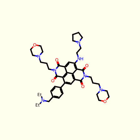 CCN(CC)Cc1ccc(-c2cc3c4c(c(NCCN5CCCC5)cc5c4c2C(=O)N(CCCN2CCOCC2)C5=O)C(=O)N(CCCN2CCOCC2)C3=O)cc1